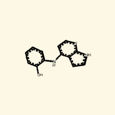 Oc1ccccc1Nc1ccnc2[nH]ccc12